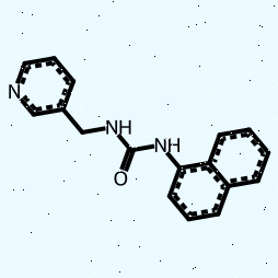 O=C(NCc1cccnc1)Nc1cccc2ccccc12